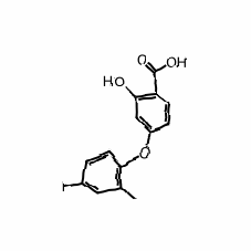 Cc1cc(I)ccc1Oc1ccc(C(=O)O)c(O)c1